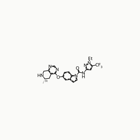 CCn1nc(NC(=O)n2ccc3cc(Oc4ncnc5c4C[C@H](C)NC5)ccc32)cc1C(F)(F)F